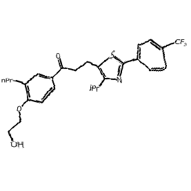 CCCc1cc(C(=O)CCc2sc(-c3ccc(C(F)(F)F)cc3)nc2C(C)C)ccc1OCCO